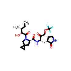 CC[C@@H](C)[C@@H](O)C(=O)N1CC2(CC2)C[C@H]1C(=O)N[C@@H](C[C@@H]1CCNC1=O)C(=O)COC(F)(F)F